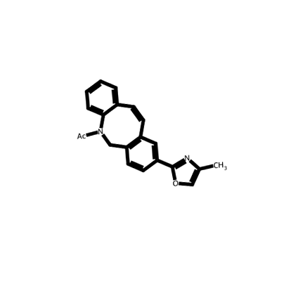 CC(=O)N1Cc2ccc(-c3nc(C)co3)cc2/C=C\c2ccccc21